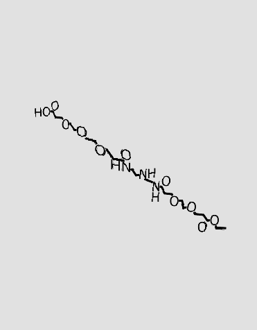 CCOC(=O)CCOCCOCCC(=O)NCCNCCNC(=O)CCOCCOCCOCCC(=O)O